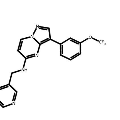 FC(F)(F)Oc1cccc(-c2cnn3ccc(NCc4cccnc4)nc23)c1